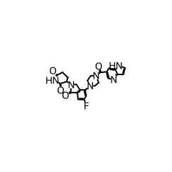 O=C1CCC(N2Cc3c(cc(F)cc3N3CCN(C(=O)c4cnc5cc[nH]c5c4)CC3)C2=O)C(=O)N1